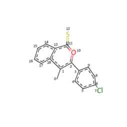 Cc1c(-c2ccc(Cl)cc2)oc(=S)c2ccccc12